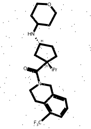 CC(C)[C@]1(C(=O)N2CCc3c(cccc3C(F)(F)F)C2)CC[C@@H](NC2CCOCC2)C1